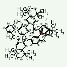 Cc1cc2c(cc1N1c3cc(-c4c(C)cccc4C)cc4c3B(c3c1ccc1sc5ccccc5c31)N(c1ccc(C(C)(C)C)cc1)c1cc3c(cc1-4)C(C)(C)CCC3(C)C)C(C)(C)CCC2(C)C